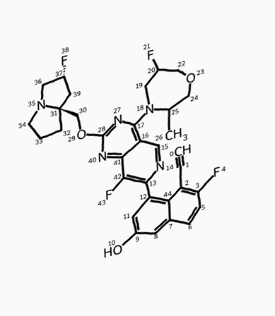 C#Cc1c(F)ccc2cc(O)cc(-c3ncc4c(N5CC(F)COCC5C)nc(OC[C@@]56CCCN5C[C@H](F)C6)nc4c3F)c12